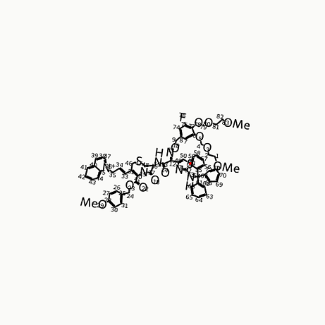 COCCOCOc1cc(CON=C(C(=O)NC2C(=O)N3C(C(=O)OCc4ccc(OC)cc4)=C(C=CC[n+]4cccc5ccccc54)CSC23)c2csc(NC(c3ccccc3)(c3ccccc3)c3ccccc3)n2)cc(F)c1OCOCCOC